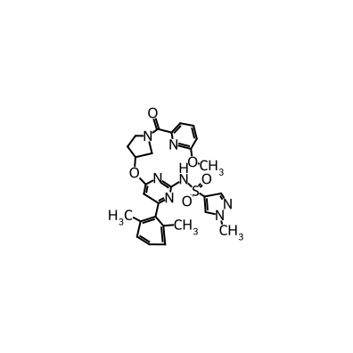 COc1cccc(C(=O)N2CCC(Oc3cc(-c4c(C)cccc4C)nc(NS(=O)(=O)c4cnn(C)c4)n3)C2)n1